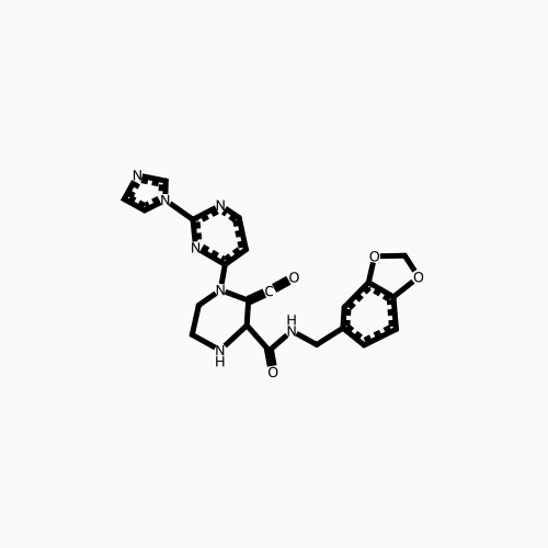 O=C=C1C(C(=O)NCc2ccc3c(c2)OCO3)NCCN1c1ccnc(-n2ccnc2)n1